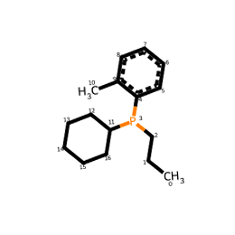 CCCP(c1ccccc1C)C1CCCCC1